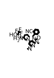 CN(C)c1cc(N2CCC[C@@H](N)C2)c2c(n1)n(C)c(=O)n2Cc1ccccc1C#N.O=C(O)C(F)(F)F